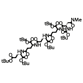 CNC(=O)C[C@H](NC(=O)OC(C)(C)C)C(=O)NC(CCC(=O)N[C@@H](CCC(=O)NC(CCC(=O)N[C@@H](CCC(=O)OC(C)(C)C)C(=O)OC(C)(C)C)C(=O)OC(C)(C)C)C(=O)OC(C)(C)C)C(=O)OC(C)(C)C